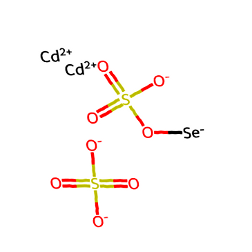 O=S(=O)([O-])O[Se-].O=S(=O)([O-])[O-].[Cd+2].[Cd+2]